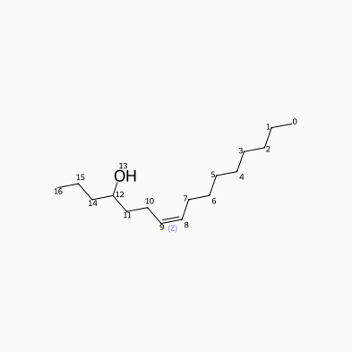 CCCCCCCC/C=C\CCC(O)CCC